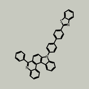 c1ccc(-c2nc3ccccc3c3c2ccc2c3c3ccccc3n2-c2ccc(-c3ccc(-c4nc5ccccc5s4)cc3)cc2)cc1